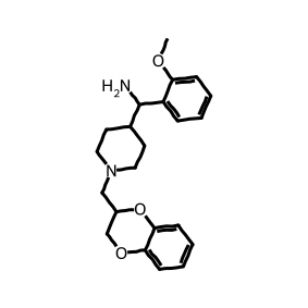 COc1ccccc1C(N)C1CCN(CC2COc3ccccc3O2)CC1